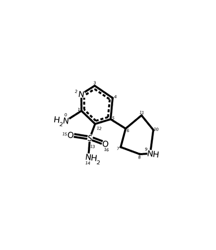 Nc1nccc(C2CCNCC2)c1S(N)(=O)=O